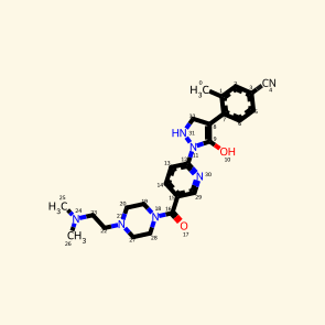 Cc1cc(C#N)ccc1C1=C(O)N(c2ccc(C(=O)N3CCN(CCN(C)C)CC3)cn2)NC1